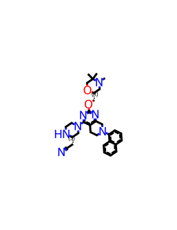 CN1C[C@H](COc2nc3c(c(N4CCN[C@@H](CC#N)C4)n2)CCN(c2cccc4ccccc24)C3)OCC1(C)C